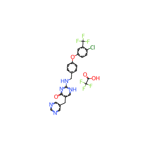 O=C(O)C(F)(F)F.O=c1nc(NCc2ccc(Oc3ccc(Cl)c(C(F)(F)F)c3)cc2)[nH]cc1Cc1cncnc1